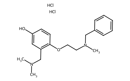 CN(C)Cc1cc(O)ccc1OCCN(C)Cc1ccccc1.Cl.Cl